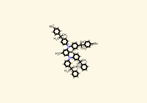 Cc1cc2c3c(c1)N(c1cccc(C(C)(C)c4ccccc4)c1)c1cc(C(C)(C)c4ccccc4)ccc1B3c1cc(C(C)(C)c3ccc(C(C)(C)C)cc3)ccc1N2c1ccc(C(C)(C)c2ccc(C(C)(C)C)cc2)cc1